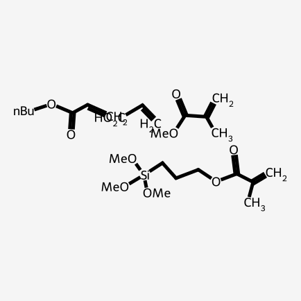 C=C(C)C(=O)OC.C=C(C)C(=O)OCCC[Si](OC)(OC)OC.C=CC(=O)O.C=CC(=O)OCCCC